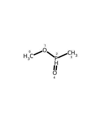 CO[PH](C)=O